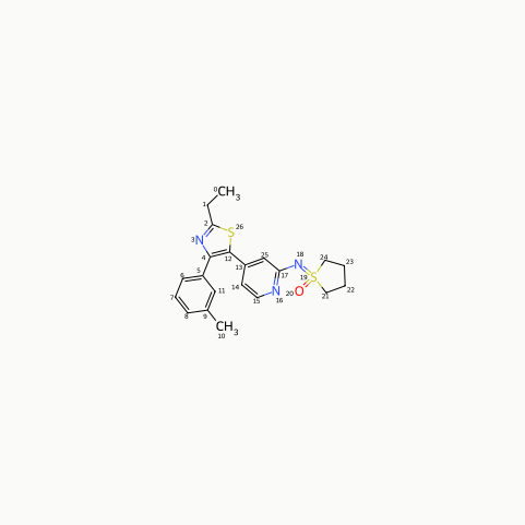 CCc1nc(-c2cccc(C)c2)c(-c2ccnc(N=S3(=O)CCCC3)c2)s1